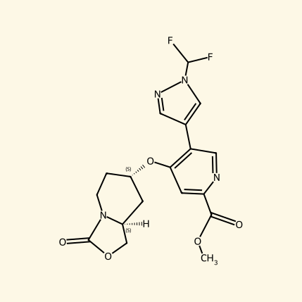 COC(=O)c1cc(O[C@H]2CCN3C(=O)OC[C@@H]3C2)c(-c2cnn(C(F)F)c2)cn1